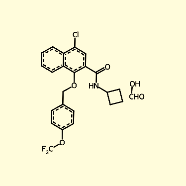 O=C(NC1CCC1)c1cc(Cl)c2ccccc2c1OCc1ccc(OC(F)(F)F)cc1.O=CO